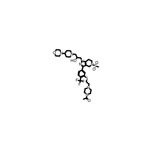 CC(=O)N1CCN(CCSc2cc(-c3nn(CC(O)CN4CCC(N5CCOCC5)CC4)c4c3CN(S(C)(=O)=O)CC4)ccc2C(F)(F)F)CC1